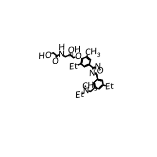 CCc1cc(CN(C)CC)cc(-c2nc(-c3cc(C)c(OC[C@@H](O)CNC(=O)CO)c(CC)c3)no2)c1